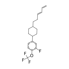 C=C/C=C/CCC1CCC(c2ccc(OC(F)(F)F)c(F)c2)CC1